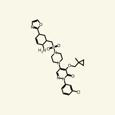 CC1(COc2c(N3CCN(S(=O)(=O)CC4CC(c5ncco5)C=CC4N)CC3)cnn(-c3cccc(Cl)c3)c2=O)CC1